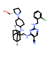 N#Cc1cnc(NCc2ccccc2Cl)nc1NC[C@]12CC3C[C@H](C1)[C@@H](NC1CCC(N4CCC[C@H]4CO)CC1)[C@@H](C3)C2